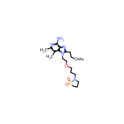 COCCc1nc2c(N)nc(C)c(C)c2n1CCOCCCN1CCCS1(=O)=O